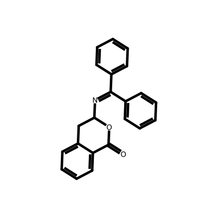 O=C1OC(N=C(c2ccccc2)c2ccccc2)Cc2ccccc21